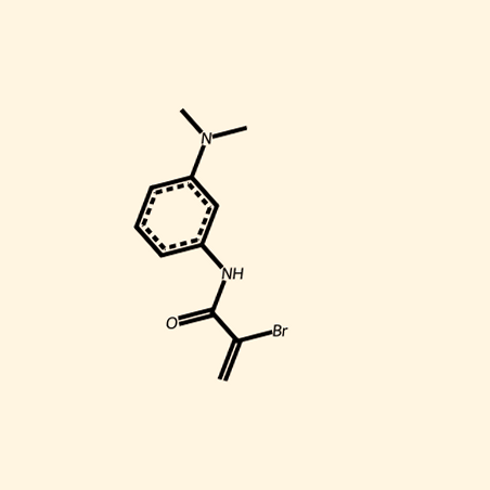 C=C(Br)C(=O)Nc1cccc(N(C)C)c1